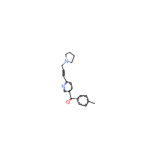 Cc1ccc(C(=O)c2ccc(C#CCN3CCCC3)nc2)cc1